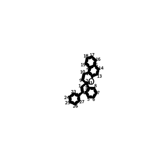 C(=CC1(c2ccccc2)C=Cc2c(ccc3ccccc23)O1)c1ccccc1